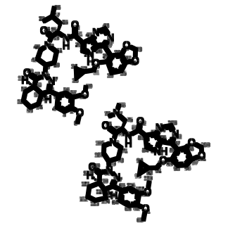 COc1ccc(C2=NN(C3CCN(C(=O)[C@@H](CC(C)C)NC(=O)c4c[nH]c5c(-c6c(OCC7CC7)ccc7c6OCO7)ncnc45)CC3)C(=O)[C@@H]3CCCC[C@H]23)cc1OC.COc1ccc(C2=NN(C3CCN(C(=O)[C@@H](CN(C)C)NC(=O)c4c[nH]c5c(-c6c(OCC7CC7)ccc7c6OCO7)ncnc45)CC3)C(=O)[C@@H]3CCCC[C@H]23)cc1OC